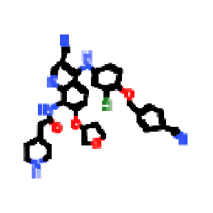 N#Cc1ccc(COc2ccc(Nc3c(C#N)cnc4c(NC(=O)C=C5CCNCC5)c(OC5CCOC5)ccc34)cc2Cl)cc1